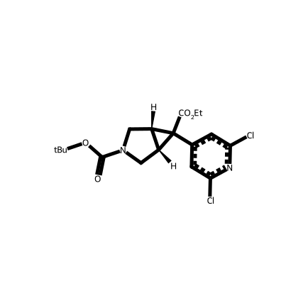 CCOC(=O)C1(c2cc(Cl)nc(Cl)c2)[C@@H]2CN(C(=O)OC(C)(C)C)C[C@@H]21